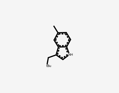 Cc1ccc2[nH]cc(CC(C)(C)C)c2c1